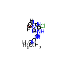 CC(C)(C)N1CCC(n2cc([C@@H](Nc3cc(Cl)c4ncc(C#N)c(N[C@@]56CCC7C[C@H](C[C@H](C7)C5)C6)c4c3)c3ccccc3)nn2)CC1